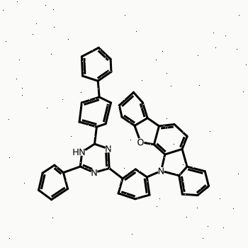 c1ccc(C2=NC(c3cccc(-n4c5ccccc5c5ccc6c7ccccc7oc6c54)c3)=NC(c3ccc(-c4ccccc4)cc3)N2)cc1